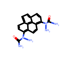 NC(=O)N(N)c1ccc2ccc3ccc(N(N)C(N)=O)c4ccc1c2c34